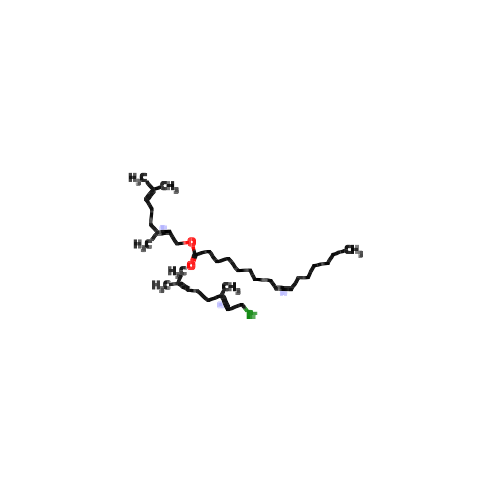 CC(C)=CCC/C(C)=C/CBr.CCCCCC/C=C\CCCCCCCC(=O)OC/C=C(\C)CCC=C(C)C